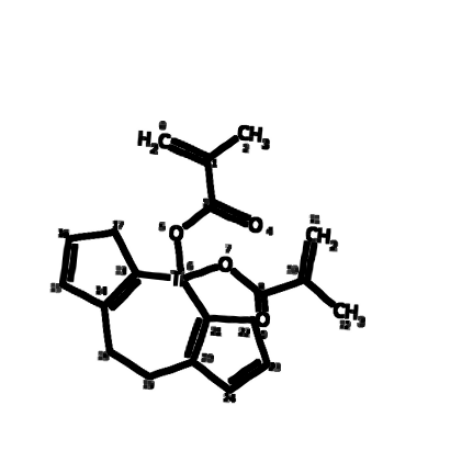 C=C(C)C(=O)[O][Ti]1([O]C(=O)C(=C)C)[C]2=C(C=CC2)CCC2=[C]1CC=C2